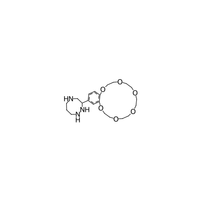 c1cc2c(cc1C1CNCCCNN1)OCCOCCOCCOCCOCCO2